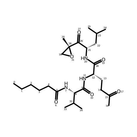 CCCCCC(=O)N[C@H](C(=O)N[C@@H](CCC(C)=O)C(=O)N[C@@H](CC(C)C)C(=O)[C@@]1(C)CO1)C(C)C